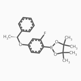 C[C@@H](Oc1ccc(B2OC(C)(C)C(C)(C)O2)c(F)c1)c1ccccc1